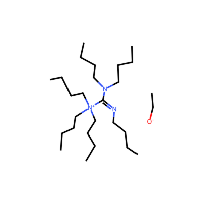 CCCCN=C(N(CCCC)CCCC)[N+](CCCC)(CCCC)CCCC.CC[O-]